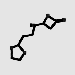 O=C1CC(NCCC2OCCO2)O1